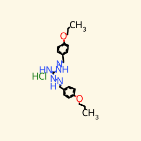 CCCOc1ccc(/C=N/NC(=N)N/N=C/c2ccc(OCCC)cc2)cc1.Cl